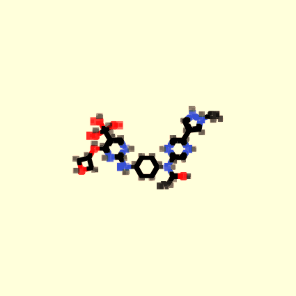 CCCC(=O)N(c1cnc(-c2cnn(C)c2)cn1)[C@H]1CC[C@H](Nc2ncc(C(O)(O)O)c(OC3COC3)n2)CC1